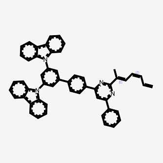 C=C/C=C\C=C(/C)c1nc(-c2ccccc2)cc(-c2ccc(-c3cc(-n4c5ccccc5c5ccccc54)cc(-n4c5ccccc5c5ccccc54)c3)cc2)n1